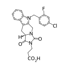 O=C(O)CCN1C(=O)[C@@H]2Cc3c(n(Cc4ccc(Cl)cc4F)c4ccccc34)CN2C1=O